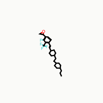 CCCC1CCC(CCC2CCC(/C=C/c3ccc(C4CO4)c(F)c3C(F)(F)F)CC2)CC1